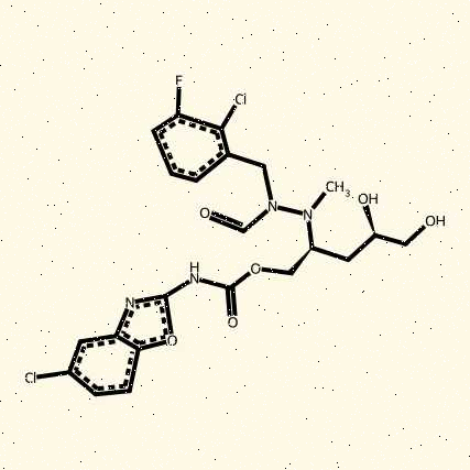 CN([C@H](COC(=O)Nc1nc2cc(Cl)ccc2o1)C[C@@H](O)CO)N(C=O)Cc1cccc(F)c1Cl